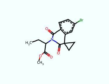 CCC(C(=O)OC)N1C(=O)c2ccc(Br)cc2C2(CC2)C1=O